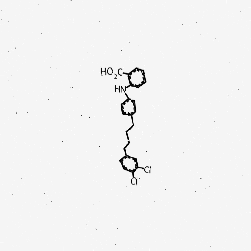 O=C(O)c1ccccc1Nc1ccc(CCCCc2ccc(Cl)c(Cl)c2)cc1